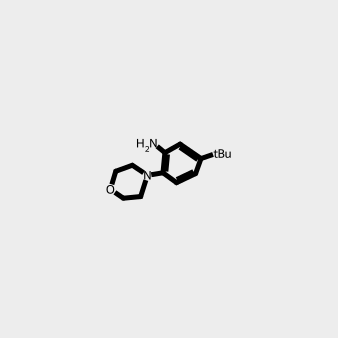 CC(C)(C)c1ccc(N2CCOCC2)c(N)c1